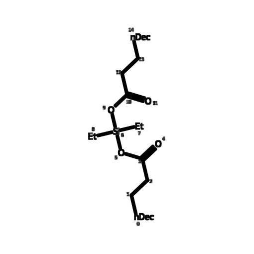 CCCCCCCCCCCCC(=O)O[Si](CC)(CC)OC(=O)CCCCCCCCCCCC